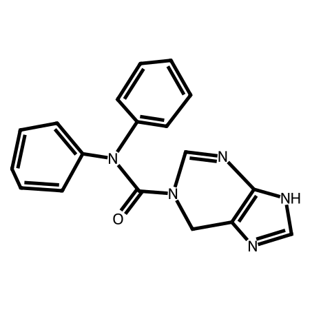 O=C(N1C=Nc2[nH]cnc2C1)N(c1ccccc1)c1ccccc1